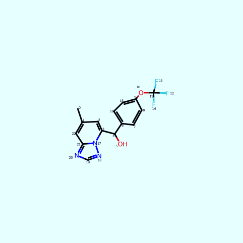 Cc1cc(C(O)c2ccc(OC(F)(F)F)cc2)n2ncnc2c1